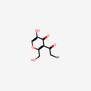 CC(C)CC(=O)c1c(CO)occ(O)c1=O